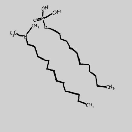 CCCCCCCCCCCCN(C)C.CCCCCCCCCCCOP(=O)(O)O